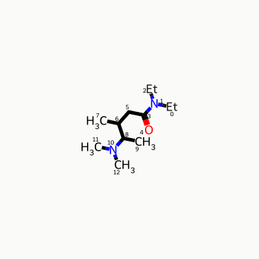 CCN(CC)C(=O)CC(C)C(C)N(C)C